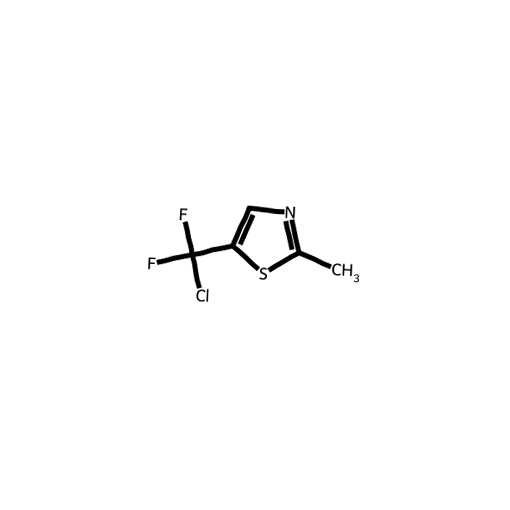 Cc1ncc(C(F)(F)Cl)s1